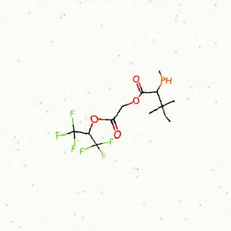 CPC(C(=O)OCC(=O)OC(C(F)(F)F)C(F)(F)F)C(C)(C)C